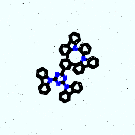 c1ccc2c(c1)c1ccccc1n2-c1nc(-c2ccc3c(c2)c2cccc4c5ccccc5n(c5ccccc5n5c6ccccc6c6cccc3c65)c24)nc(-n2c3ccccc3c3ccccc32)n1